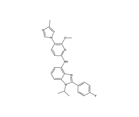 COc1nc(Nc2cccc3c2nc(-c2ccc(F)cc2)n3C(C)C)ccc1-n1cnc(C)c1